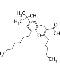 CCCCCCCc1cc(C(C)(C)C)cc2c1OC(CCCCC)=C(C(C)=O)C2